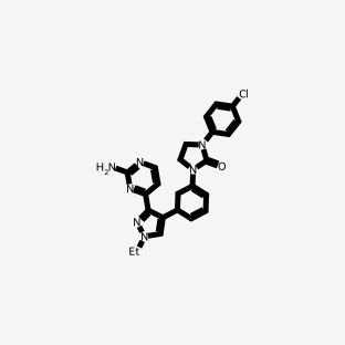 CCn1cc(C2C=CC=C(N3CCN(c4ccc(Cl)cc4)C3=O)C2)c(-c2ccnc(N)n2)n1